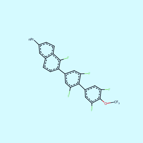 CCCc1ccc2c(F)c(-c3cc(F)c(-c4cc(F)c(OC(F)(F)F)c(F)c4)c(F)c3)ccc2c1